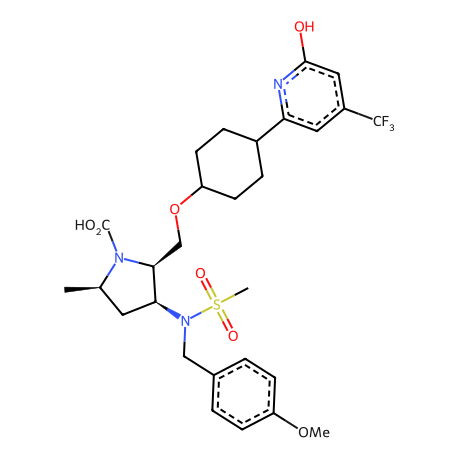 COc1ccc(CN([C@H]2C[C@@H](C)N(C(=O)O)[C@H]2COC2CCC(c3cc(C(F)(F)F)cc(O)n3)CC2)S(C)(=O)=O)cc1